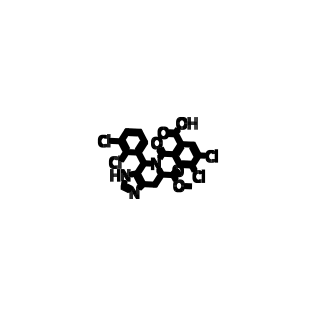 COC(=O)C1Cc2nc[nH]c2C(c2cccc(Cl)c2Cl)N1C(=O)c1cc(Cl)c(Cl)cc1C(=O)O